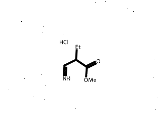 CCC(C=N)C(=O)OC.Cl